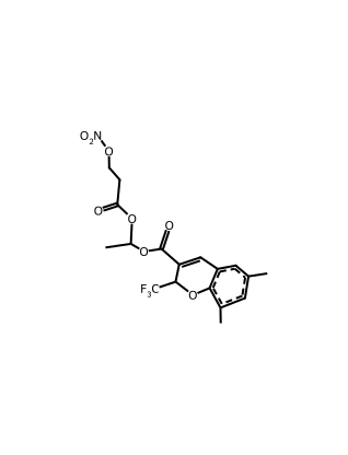 Cc1cc(C)c2c(c1)C=C(C(=O)OC(C)OC(=O)CCO[N+](=O)[O-])C(C(F)(F)F)O2